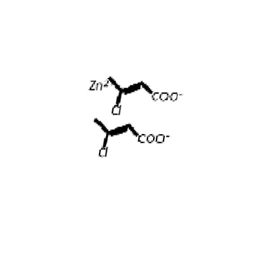 C/C(Cl)=C/C(=O)[O-].C/C(Cl)=C/C(=O)[O-].[Zn+2]